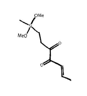 CC=CC(=O)C(=O)CC[Si](C)(OC)OC